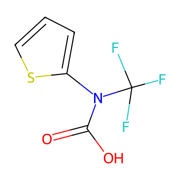 O=C(O)N(c1cccs1)C(F)(F)F